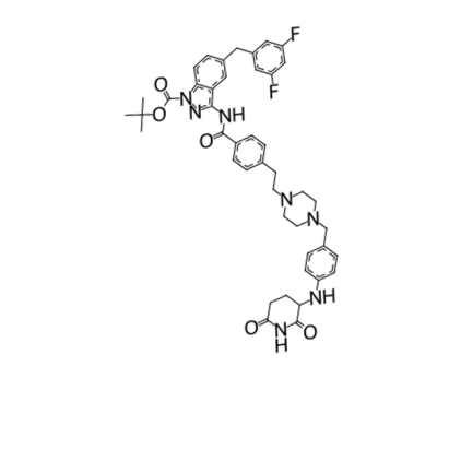 CC(C)(C)OC(=O)n1nc(NC(=O)c2ccc(CCN3CCN(Cc4ccc(NC5CCC(=O)NC5=O)cc4)CC3)cc2)c2cc(Cc3cc(F)cc(F)c3)ccc21